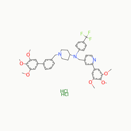 COc1cc(-c2cccc(CN3CCC(N(Cc4ccnc(-c5cc(OC)c(OC)c(OC)c5)c4)c4ccc(C(F)(F)F)cc4)CC3)c2)cc(OC)c1OC.Cl.Cl